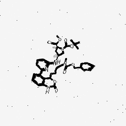 COC(=O)[C@@H]1C[C@H](Nc2cccc(-c3cccc4c3C(CCCN(C)C(=O)OCc3ccccc3)OC(=O)N4)n2)CN1C(=O)OC(C)(C)C